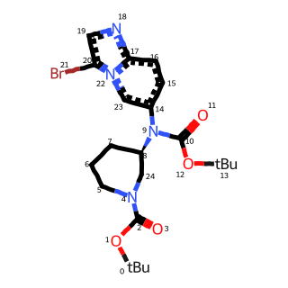 CC(C)(C)OC(=O)N1CCC[C@@H](N(C(=O)OC(C)(C)C)c2ccc3ncc(Br)n3c2)C1